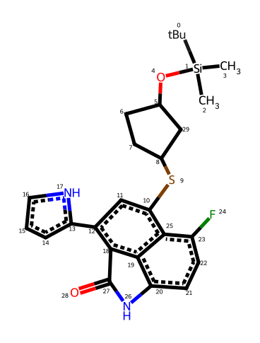 CC(C)(C)[Si](C)(C)OC1CCC(Sc2cc(-c3ccc[nH]3)c3c4c(ccc(F)c24)NC3=O)C1